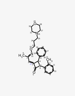 CC(/C=C1/C(=O)N(c2ccccc2C)C1c1ccccc1)=NOCCCN1CCOCC1